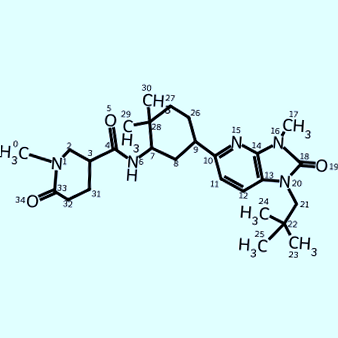 CN1CC(C(=O)NC2CC(c3ccc4c(n3)n(C)c(=O)n4CC(C)(C)C)CCC2(C)C)CCC1=O